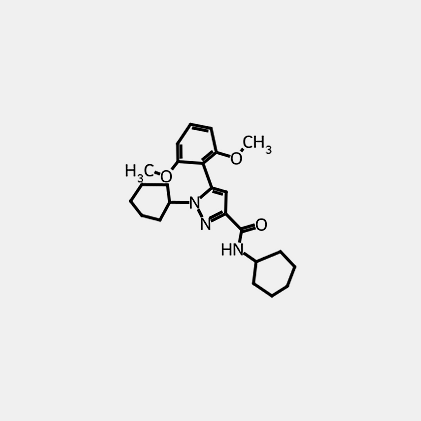 COc1cccc(OC)c1-c1cc(C(=O)NC2CCCCC2)nn1C1CCCCC1